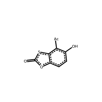 CC(=O)c1c(O)ccc2oc(=O)sc12